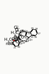 CCCC[Si](C)(C)OC1=C2CCC3=C(O[Si](C)(C)CCCC)[CH]([Zr+2][CH]1c1ccccc12)c1ccccc13.[Cl-].[Cl-]